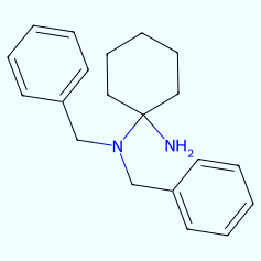 NC1(N(Cc2ccccc2)Cc2ccccc2)CCCCC1